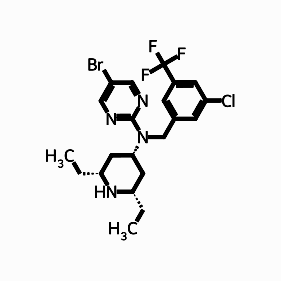 CC[C@@H]1C[C@H](N(Cc2cc(Cl)cc(C(F)(F)F)c2)c2ncc(Br)cn2)C[C@H](CC)N1